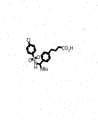 CCCCC(NS(=O)(=O)c1ccc(Cl)cc1)c1ccc(CCCC(=O)O)cc1